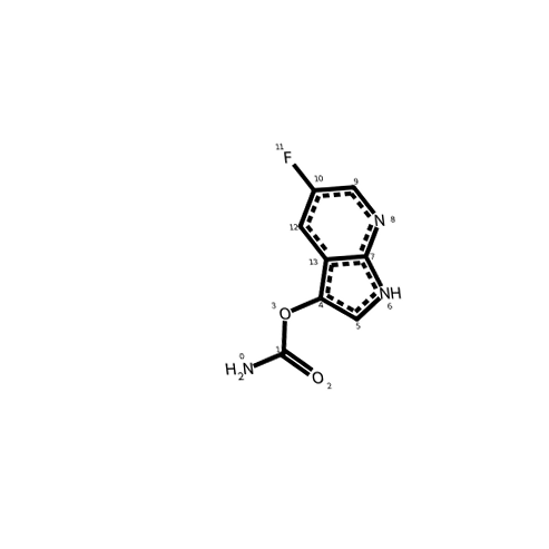 NC(=O)Oc1c[nH]c2ncc(F)cc12